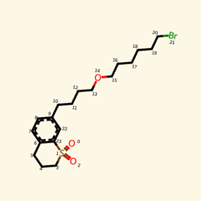 O=S1(=O)CCCc2ccc(CCCCOCCCCCCBr)cc21